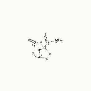 C=C1CC2[CH]C(C(N)=O)(CC2)C1